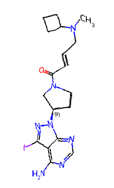 CN(CC=CC(=O)N1CC[C@@H](n2nc(I)c3c(N)ncnc32)C1)C1CCC1